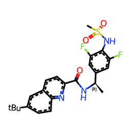 C[C@@H](NC(=O)c1ccc2cc(C(C)(C)C)ccc2n1)c1cc(F)c(NS(C)(=O)=O)c(F)c1